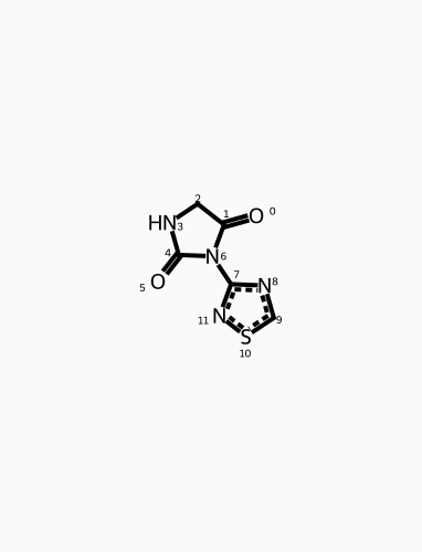 O=C1CNC(=O)N1c1ncsn1